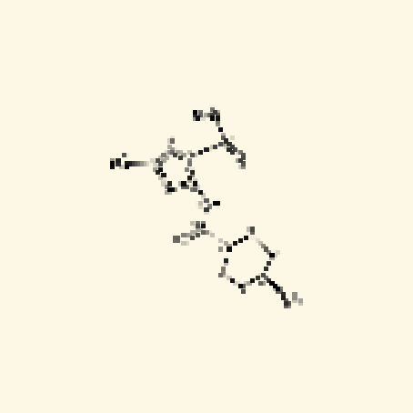 COC(=O)c1sc(C(C)(C)C)cc1NC(=O)[C@H]1CC[C@H](C)CC1